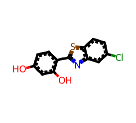 Oc1ccc(-c2nc3cc(Cl)ccc3s2)c(O)c1